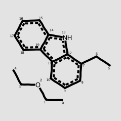 CCOCC.CCc1cccc2c1[nH]c1ccccc12